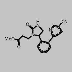 COC(=O)CCN1C(=O)NCC1c1ccccc1-c1ccc(C#N)cn1